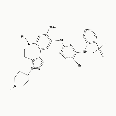 COc1cc2c(cc1Nc1ncc(Br)c(Nc3ccccc3P(C)(C)=O)n1)-c1cnn(C3CCN(C)CC3)c1CCN2C(C)C